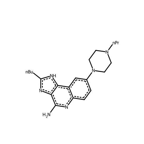 CCCCc1nc2c(N)nc3ccc(N4CCN(CCC)CC4)cc3c2[nH]1